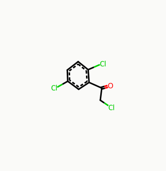 O=C(CCl)c1cc(Cl)ccc1Cl